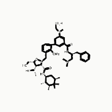 COc1c(CN2O[C@@H](CO)[C@@H]([C@H](C)O)[C@H]2C(=O)N[C@H]2C[C@@H](C)C(C)(C)[C@@H](C)[C@@H]2C)cccc1-c1cc(C(=O)N[C@@H](Cc2ccccc2)CN(C)C)cc(N(C)CC(=O)O)c1